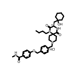 CCCCN1C(=O)[C@@H](CC2(O)CCCCC2)NC(=O)C12CCN(Cc1ccc(COc3ccc(C(=O)NC)cc3)cc1)CC2.Cl